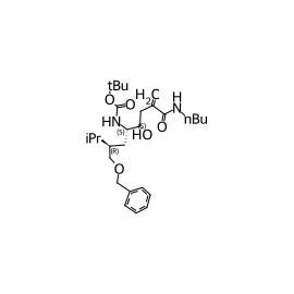 C=C(C[C@H](O)[C@H](C[C@@H](COCc1ccccc1)C(C)C)NC(=O)OC(C)(C)C)C(=O)NCCCC